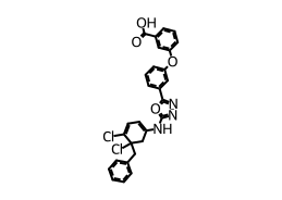 O=C(O)c1cccc(Oc2cccc(-c3nnc(NC4=CC=C(Cl)C(Cl)(Cc5ccccc5)C4)o3)c2)c1